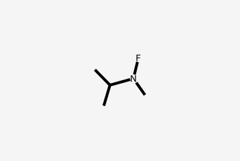 CC(C)N(C)F